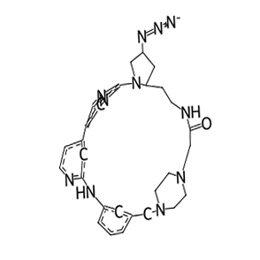 [N-]=[N+]=NC1CC2CCNC(=O)CN3CCN(CC3)Cc3cccc(c3)Nc3cc(ccn3)-c3cnc(nc3)N2C1